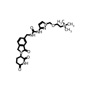 C[Si](C)(C)CCOCn1ccc(NC(=O)NCc2ccc3c(c2)C(=O)N(C2CCC(=O)NC2=O)C3)n1